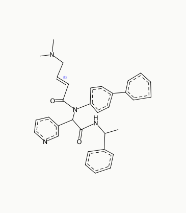 CC(NC(=O)C(c1cccnc1)N(C(=O)/C=C/CN(C)C)c1ccc(-c2ccccc2)cc1)c1ccccc1